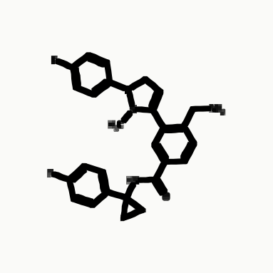 CN1C(c2cc(C(=O)NC3(c4ccc(F)cc4)CC3)ccc2CN)=CCN1c1ccc(F)cc1